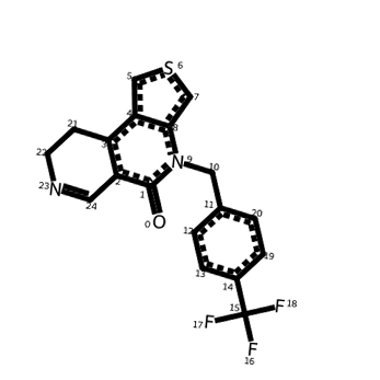 O=c1c2c(c3cscc3n1Cc1ccc(C(F)(F)F)cc1)CCN=C2